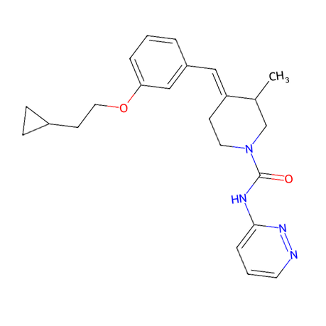 CC1CN(C(=O)Nc2cccnn2)CC/C1=C\c1cccc(OCCC2CC2)c1